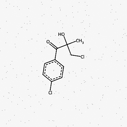 CC(O)(CCl)C(=O)c1ccc(Cl)cc1